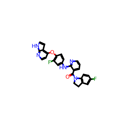 O=C(c1cccnc1Nc1ccc(Oc2ccnc3[nH]ccc23)c(F)c1)N1CCc2cc(F)ccc21